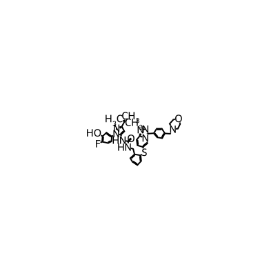 CC(C)(C)c1cc(NC(=O)NCc2ccccc2Sc2ccc3nnc(-c4ccc(CN5CCOCC5)cc4)n3c2)n(-c2ccc(F)c(O)c2)n1